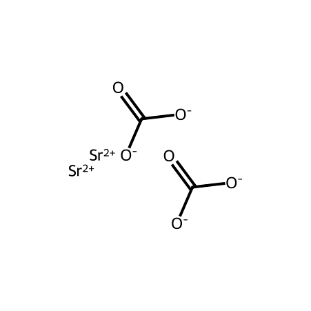 O=C([O-])[O-].O=C([O-])[O-].[Sr+2].[Sr+2]